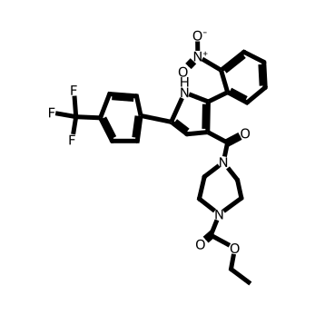 CCOC(=O)N1CCN(C(=O)c2cc(-c3ccc(C(F)(F)F)cc3)[nH]c2-c2ccccc2[N+](=O)[O-])CC1